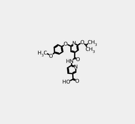 COc1ccc(Oc2cc(C(=O)Nc3ccc(C(=O)O)cn3)cc(OC(C)C)n2)cc1